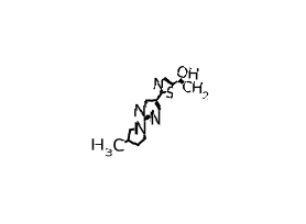 C=C(O)c1cnc(-c2cnc(N3CCC(C)C3)nc2)s1